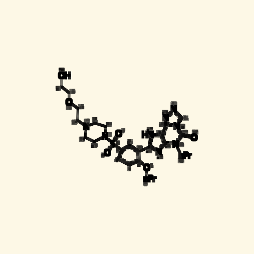 CCCOc1ccc(S(=O)(=O)N2CCN(CCOCCO)CC2)cc1-c1nc2c([nH]1)c1nncn1c(=O)n2CCC